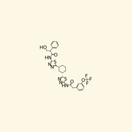 O=C(Cc1cccc(OC(F)(F)F)c1)Nc1nnc([C@H]2CCC[C@H](c3nnc(NC(=O)C(CO)c4ccccc4)s3)C2)s1